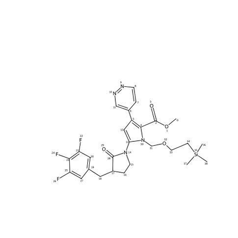 COC(=O)c1c(-c2ccnnc2)cc(N2CCC(Cc3cc(F)c(F)c(F)c3)C2=O)n1COCC[Si](C)(C)C